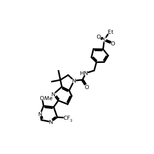 CCS(=O)(=O)c1ccc(CNC(=O)N2CC(C)(C)c3nc(-c4c(OC)ncnc4C(F)(F)F)ccc32)cc1